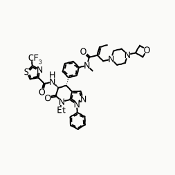 C/C=C(\CN1CCN(C2COC2)CC1)C(=O)N(C)c1cccc([C@@H]2c3cnn(-c4ccccc4)c3N(CC)C(=O)[C@H]2NC(=O)c2csc(C(F)(F)F)n2)c1